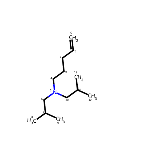 C=CCCCN(CC(C)C)CC(C)C